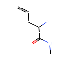 C=CCC(N)C(=O)NC